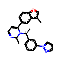 Cc1coc2ccc(C3=CC=NC(C)N3[C@@H](C)c3cccc(-n4cccn4)c3)cc12